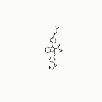 COc1cccc(Cn2c(C(=O)O)c(-c3ccc(OCC4CC4)cc3)c3ccccc32)c1